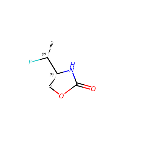 C[C@@H](F)[C@H]1COC(=O)N1